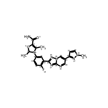 CC1=C(C(N)=O)OC(C)N1c1ccc(F)c(-c2nc3ncc(-c4ccn(C)n4)cn3n2)c1